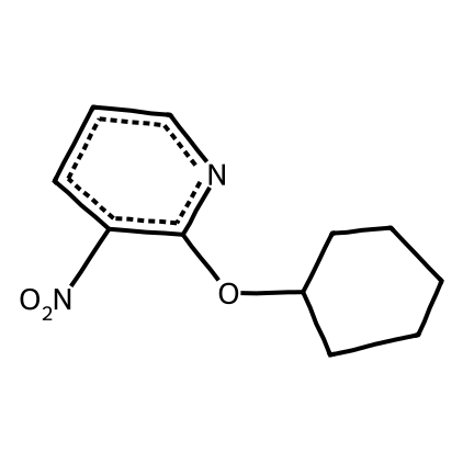 O=[N+]([O-])c1cccnc1OC1CCCCC1